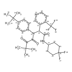 CC(C)(C)C(=O)C(=O)N(c1ccc(C(C)(C)C)cc1)C(C(=O)NC1CCC(F)(F)CC1)c1cnccc1C(F)(F)F